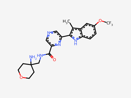 Cc1c(-c2cncc(C(=O)NCC3(N)CCOCC3)n2)[nH]c2ccc(OC(F)(F)F)cc12